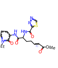 CCn1cccc(NC(=O)C(CC/C=C/C(=O)OC)NC(=O)c2nncs2)c1=O